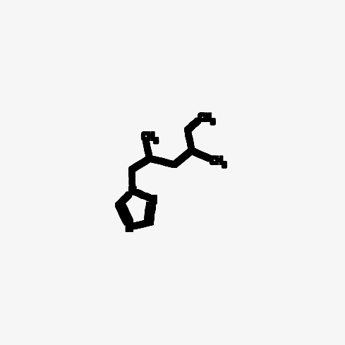 CCC(C)CC(C)Cn1cncn1